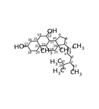 CC[C@H](CC[C@@H](C)C1CCC2C3C(O)CC4CC(O)CCC4(C)C3CCC21C)C(C)C